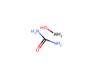 NC(N)=O.[OH][AlH2]